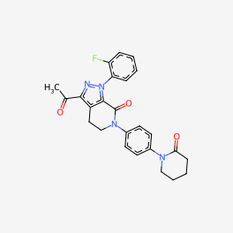 CC(=O)c1nn(-c2ccccc2F)c2c1CCN(c1ccc(N3CCCCC3=O)cc1)C2=O